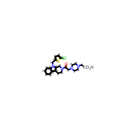 O=C(O)CN1CCN(CC(=O)N2CCc3c(n(Cc4ccc(Cl)s4)c4ccccc34)C2)CC1